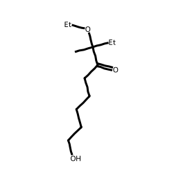 CCOC(C)(CC)C(=O)CCCCCO